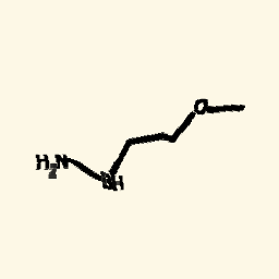 COCCBN